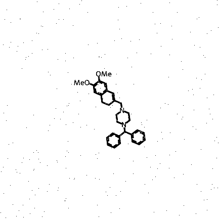 COc1cc2c(cc1OC)CCC(CN1CCN(C(c3ccccc3)c3ccccc3)CC1)=C2